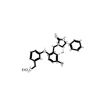 CCOC(=O)Cc1cccc(Oc2ccc(Br)cc2CN2C(=O)O[C@H](c3ccccc3)[C@@H]2C)c1